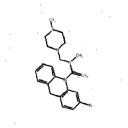 C=C(N(C)CN1CCN(C)CC1)N1c2ccccc2Cc2ccc(Br)cc21